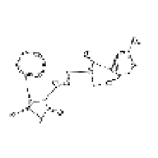 CC(=O)c1ccc2c(c1)C(=O)N(CCOC1C(=O)SC(=O)N1Cc1ccccc1)CO2